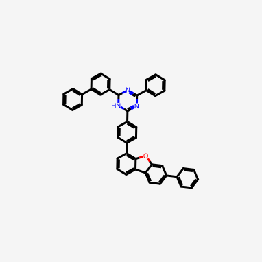 c1ccc(C2=NC(c3cccc(-c4ccccc4)c3)NC(c3ccc(-c4cccc5c4oc4cc(-c6ccccc6)ccc45)cc3)=N2)cc1